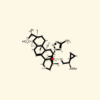 CN[C@@H](CO[C@H]1[C@H](n2nnc(N)n2)C[C@@]23COC[C@]1(C)[C@@H]2CC[C@H]1C3=CC[C@@]2(C)[C@H](C(=O)O)[C@@](C)([C@H](C)C(C)C)CC[C@]12C)C1CC1